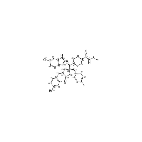 CCNC(=O)N1CCN(C(=O)[C@]2(Sc3ccc(C)cc3)CC(=O)N(Cc3ccc(Br)cc3)[C@@H]2c2c[nH]c3cc(Cl)ccc23)CC1